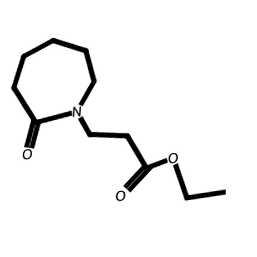 CCOC(=O)CCN1CCCCCC1=O